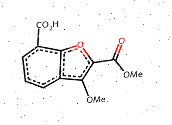 COC(=O)c1oc2c(C(=O)O)cccc2c1OC